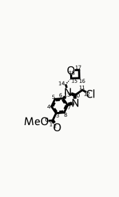 COC(=O)c1ccc2c(c1)nc(CCl)n2C[C@H]1CCO1